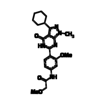 COCC(=O)Nc1ccc(-c2nc3c(c(C4CCCCC4)nn3C)c(=O)[nH]2)c(OC)c1